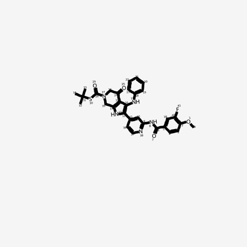 COc1ccc(C(=O)Nc2cc(-c3[nH]c4c(c3Nc3ccccc3)C(=O)CN(C(=O)SC(C)(C)C)C4)ccn2)cc1F